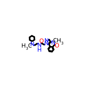 CN(CCNC(=O)Cn1ncc2c1c1ccccc1c(=O)n2C)C1CCCCC1